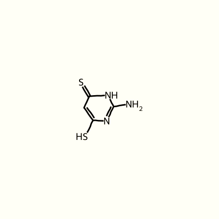 Nc1nc(S)cc(=S)[nH]1